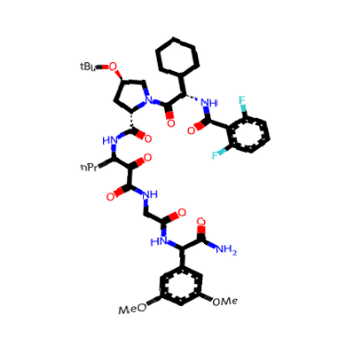 CCCC(NC(=O)[C@@H]1C[C@@H](OC(C)(C)C)CN1C(=O)[C@@H](NC(=O)c1c(F)cccc1F)C1CCCCC1)C(=O)C(=O)NCC(=O)NC(C(N)=O)c1cc(OC)cc(OC)c1